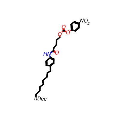 [CH2]CCCCCCCCCCCCCCCCCc1ccc(NC(=O)CCCCOC(=O)Oc2ccc([N+](=O)[O-])cc2)cc1